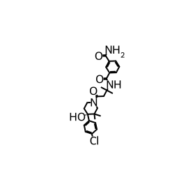 CC(C)(CC(=O)N1CC[C@](O)(c2ccc(Cl)cc2)C(C)(C)C1)NC(=O)c1cccc(C(N)=O)c1